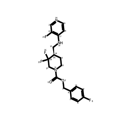 O=C(OCc1ccc(F)cc1)N1CC[C@H](CNc2ccncc2F)C(F)(F)C1